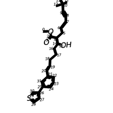 COC(=O)C(C/C=C/C#CC(C)(C)C)C(O)CCC/C=C/c1cccc(-c2ccsc2)c1